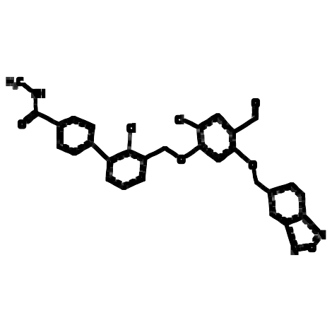 CNC(=O)c1ccc(-c2cccc(COc3cc(OCc4ccc5nonc5c4)c(C=O)cc3Cl)c2Cl)cc1